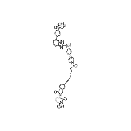 CS(=O)(=O)c1ccc(-c2cccc3nc(Nc4ccc(N5CCN(C(=O)CCCCC#Cc6ccc7c(c6)CN(C6CCC(=O)NC6=O)C7=O)CC5)cc4)nn23)cc1